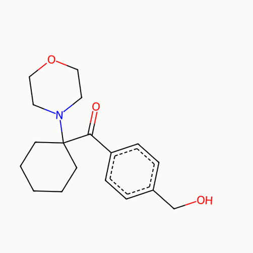 O=C(c1ccc(CO)cc1)C1(N2CCOCC2)CCCCC1